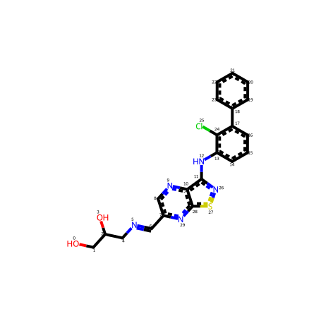 OCC(O)CN=Cc1cnc2c(Nc3cccc(-c4ccccc4)c3Cl)nsc2n1